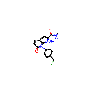 CNC(=O)c1cc2ccc(=O)n(-c3ccc(CF)cc3)c2[nH]1